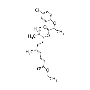 C=C(C)C(CCC(C)=CC=CC(=O)OCC)OC(=O)C(C)Oc1ccc(Cl)cc1